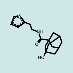 O=C(NCCc1cccs1)C12CC3CC(CC(O)(C3)C1)C2